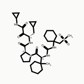 CC1([C@H](NC(=O)NC2(CS(C)(=O)=O)CCCCC2)C(=O)N2CCC[C@H]2C(=O)N[C@@H](CC2CC2)C(=O)C(=O)NC2CC2)CCCCC1